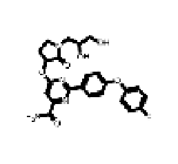 NC(=O)c1cc(OC2CCN(CC(O)CO)C2=O)nc(-c2ccc(Oc3ccc(F)cc3)cc2)n1